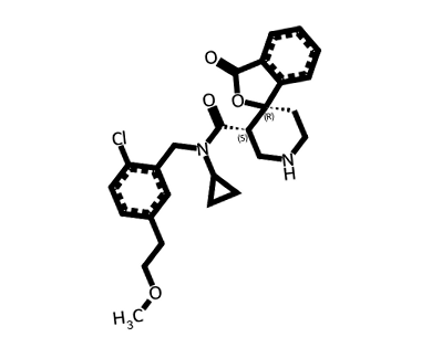 COCCc1ccc(Cl)c(CN(C(=O)[C@H]2CNCC[C@@]23OC(=O)c2ccccc23)C2CC2)c1